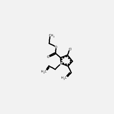 C=CCn1c(C=C)cc(Cl)c1C(=O)OCC